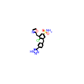 NS(=O)(=O)c1cc(Cc2ccc(-c3nn[nH]n3)cc2)c(Cl)c(Cc2ncco2)c1